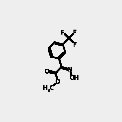 COC(=O)C(=NO)c1cccc(C(F)(F)F)c1